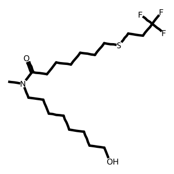 CN(CCCCCCCCO)C(=O)CCCCCCSCCC(F)(F)F